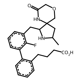 CC1CC2(COCC(=O)N2)C(Cc2cccc(-c3ccccc3CCCC(=O)O)c2F)N1